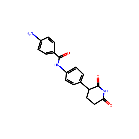 Nc1ccc(C(=O)Nc2ccc(C3CCC(=O)NC3=O)cc2)cc1